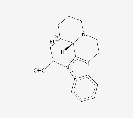 CC[C@@]12CCCN3CCc4c(n(c5ccccc45)C(C=O)C1)[C@@H]32